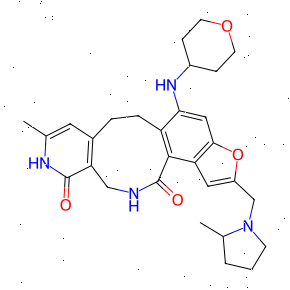 Cc1cc2c(c(=O)[nH]1)CNC(=O)c1c(c(NC3CCOCC3)cc3oc(CN4CCCC4C)cc13)CC2